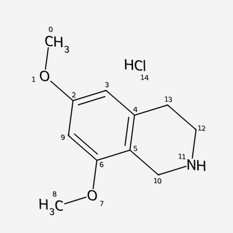 COc1cc2c(c(OC)c1)CNCC2.Cl